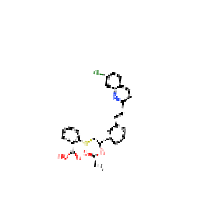 CC(=O)OC(CSc1ccccc1C(=O)O)c1cccc(C=Cc2ccc3ccc(Cl)cc3n2)c1